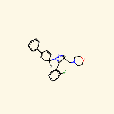 N#CC1(n2ncc(CN3CCOCC3)c2-c2ccccc2F)C=CC(c2ccccc2)=CC1